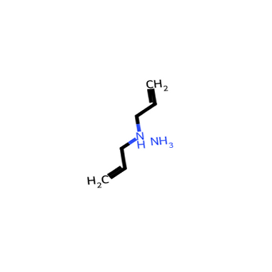 C=CCNCC=C.N